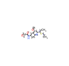 C/C=C\S/C(=C\C)c1cc(OCC)c2cc(NC(=O)C3COC3)ccc2n1